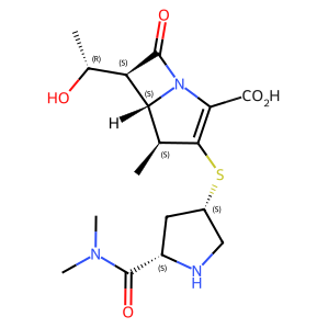 C[C@@H]1C(S[C@@H]2CN[C@H](C(=O)N(C)C)C2)=C(C(=O)O)N2C(=O)[C@H]([C@@H](C)O)[C@@H]12